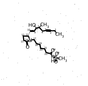 CCC#CC[C@H](C)[C@H](O)C=C[C@H]1CCC(=O)N1CCCCCCC(=O)NS(C)(=O)=O